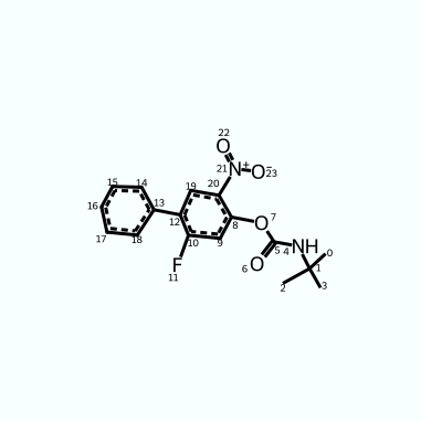 CC(C)(C)NC(=O)Oc1cc(F)c(-c2ccccc2)cc1[N+](=O)[O-]